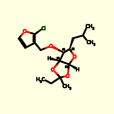 CCC1(C)O[C@H]2O[C@H](CC(C)C)[C@H](OCc3ccoc3Cl)[C@H]2O1